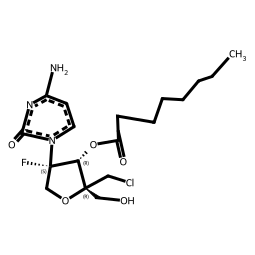 CCCCCCCC(=O)O[C@@H]1[C@](CO)(CCl)OC[C@@]1(F)n1ccc(N)nc1=O